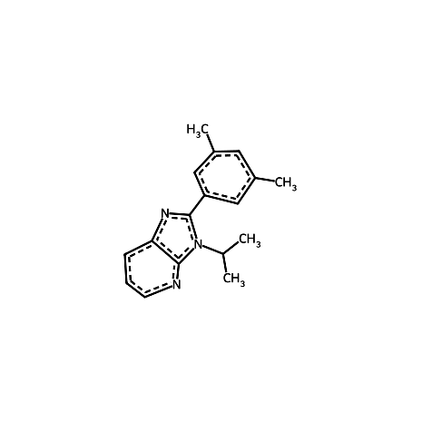 Cc1cc(C)cc(-c2nc3cccnc3n2C(C)C)c1